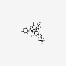 C=CCC(O[Si](C)(C)C(C)(C)C)C1(C(O)c2ccccc2)CCOc2cc(O[Si](C)(C)C(C)(C)C)ccc21